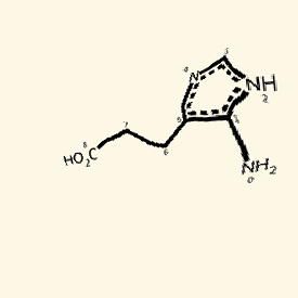 Nc1[nH]cnc1CCC(=O)O